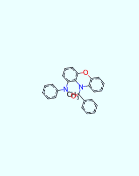 CN(c1ccccc1)c1cccc2c1N(C(=O)c1ccccc1)c1ccccc1O2